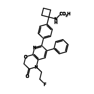 O=C(O)NC1(c2ccc(-c3nc4c(cc3-c3ccccc3)N(CCF)C(=O)CO4)cc2)CCC1